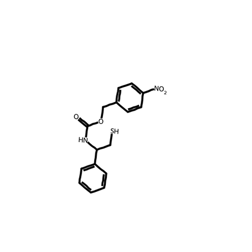 O=C(NC(CS)c1ccccc1)OCc1ccc([N+](=O)[O-])cc1